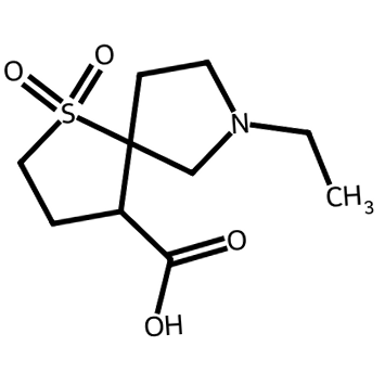 CCN1CCC2(C1)C(C(=O)O)CCS2(=O)=O